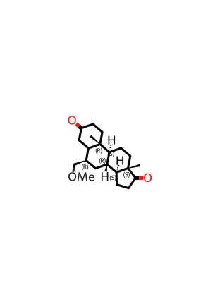 COC[C@@H]1C[C@@H]2[C@H](CC[C@]3(C)C(=O)CC[C@@H]23)[C@@]2(C)CCC(=O)CC12